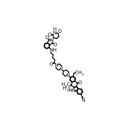 CCc1cc2c(cc1N1CCC(N3CCN(C(=O)CCCCNc4cccc5c4C(=O)N(C4CCC(=O)NC4=O)C5=O)CC3)CC1)C(C)(C)c1[nH]c3cc(C#N)ccc3c1C2=O